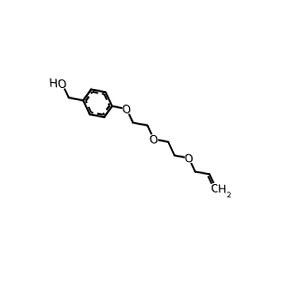 C=CCOCCOCCOc1ccc(CO)cc1